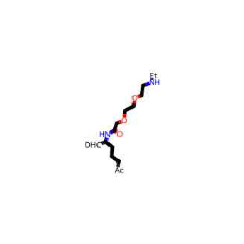 CCNCCOCCOCC(=O)NC(C=O)CCCC(C)=O